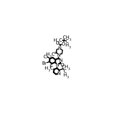 Cc1ccnc(C(C)C)c1-n1c(=O)nc(N2CCN(C(=O)OC(C)(C)C)C[C@@H]2C)c2cc(Cl)c(Br)c(F)c21